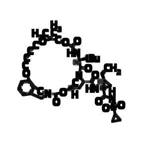 C=C[C@H]1C[C@@]1(NC(=O)C1C[C@@H]2CN1C(=O)[C@H](C(C)(C)C)NC(=O)OCC(C)(C)OCCCCOc1cccc3c1CN(C3)C(=O)O2)C(=O)NS(=O)(=O)C1CC1